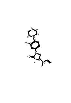 C=CN(C)[C@@H]1CN(c2ccc(N3CCOCC3)c(F)c2)C(=O)O1